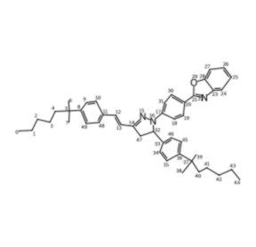 CCCCCC(C)(C)c1ccc(C=CC2=NN(c3ccc(-c4nc5ccccc5o4)cc3)C(c3ccc(C(C)(C)CCCCC)cc3)C2)cc1